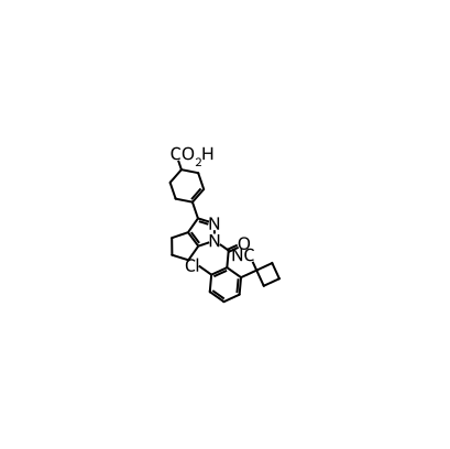 N#CC1(c2cccc(Cl)c2C(=O)n2nc(C3=CCC(C(=O)O)CC3)c3c2CCC3)CCC1